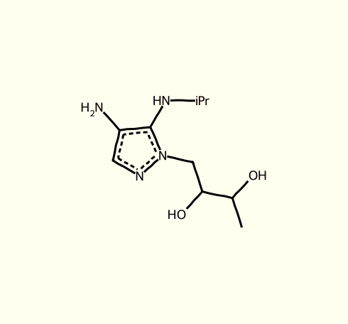 CC(C)Nc1c(N)cnn1CC(O)C(C)O